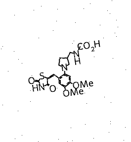 COc1cc(C=C2SC(=O)NC2=O)c(N2CCC(CNC(=O)O)C2)cc1OC